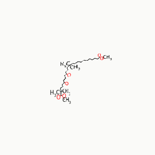 COC(=O)CCCCCCCCCCC(C)(C)CCCC(=O)CCCC(=O)CCCC(C)(C)C(=O)OC